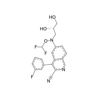 N#Cc1ncc2ccc(N(C[C@H](O)CO)OC(F)F)cc2c1-c1cccc(F)c1